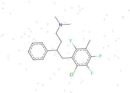 Cc1c(F)c(F)c(Cl)c(CC(CCN(C)C)c2ccccc2)c1F